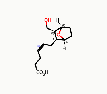 O=C(O)CC/C=C\C[C@H]1[C@@H](CO)[C@H]2CC[C@@H]1O2